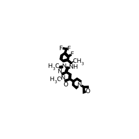 Cc1nc(N[C@H](C)c2cccc(C(F)F)c2F)c2cc(C3CCN(C4COC4)CC3)c(=O)n(C)c2n1